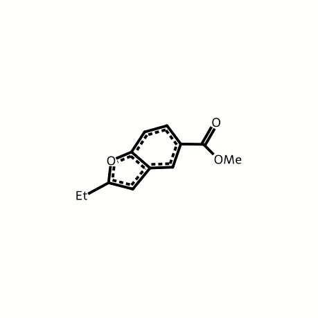 CCc1cc2cc(C(=O)OC)ccc2o1